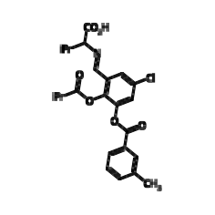 Cc1cccc(C(=O)Oc2cc(Cl)cc(C=NC(C(=O)O)C(C)C)c2OC(=O)C(C)C)c1